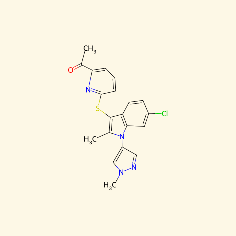 CC(=O)c1cccc(Sc2c(C)n(-c3cnn(C)c3)c3cc(Cl)ccc23)n1